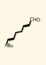 CCCC/C=C/CC/C=C/[C]=O